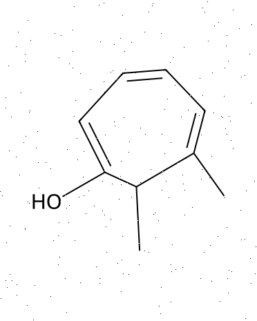 CC1=CC=CC=C(O)C1C